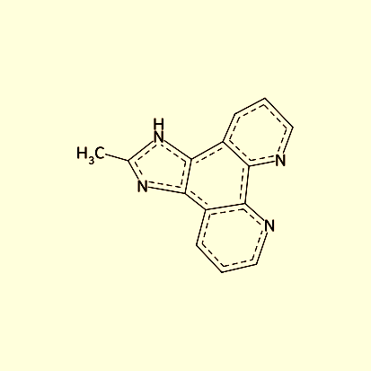 Cc1nc2c3cccnc3c3ncccc3c2[nH]1